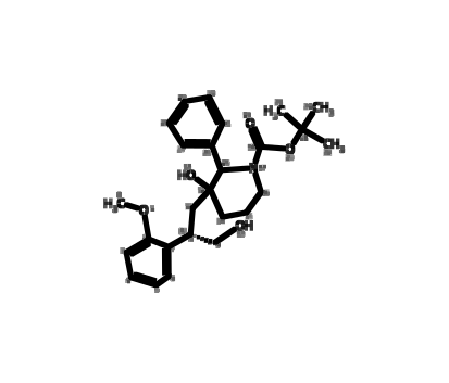 COc1ccccc1[C@@H](CO)CC1(O)CCCN(C(=O)OC(C)(C)C)C1c1ccccc1